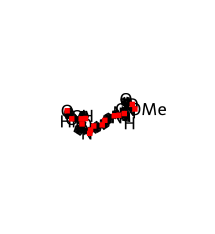 COC(=O)N[C@H](C(=O)N1CCC[C@H]1c1nc(-c2ccc3cc(-c4ccc(-c5cnc([C@@H]6CCCN6C(=O)[C@@H](NC(=O)OC6CCOCC6)c6ccccc6)[nH]5)cc4)ccc3c2)c[nH]1)C1CCOCC1